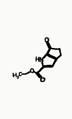 CCOC(=O)c1cc2c([nH]1)C(=O)CC2